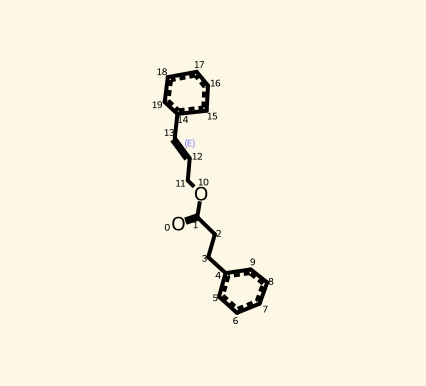 O=C(CCc1ccccc1)OC/C=C/c1ccccc1